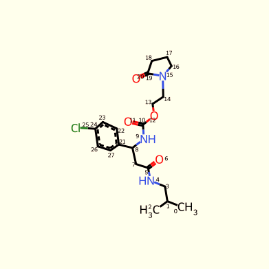 CC(C)CNC(=O)CC(NC(=O)OCCN1CCCC1=O)c1ccc(Cl)cc1